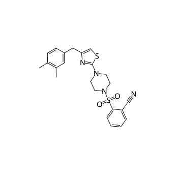 Cc1ccc(Cc2csc(N3CCN(S(=O)(=O)c4ccccc4C#N)CC3)n2)cc1C